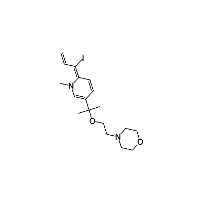 C=C/C(I)=C1/C=CC(C(C)(C)OCCN2CCOCC2)=CN1C